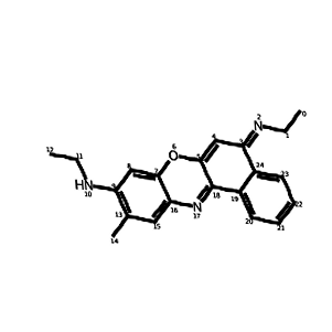 CC/N=c1/cc2oc3cc(NCC)c(C)cc3nc-2c2ccccc12